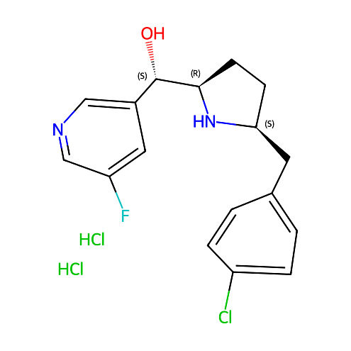 Cl.Cl.O[C@@H](c1cncc(F)c1)[C@H]1CC[C@@H](Cc2ccc(Cl)cc2)N1